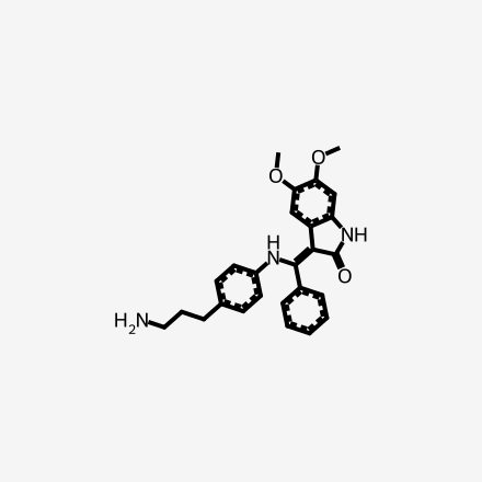 COc1cc2c(cc1OC)C(=C(Nc1ccc(CCCN)cc1)c1ccccc1)C(=O)N2